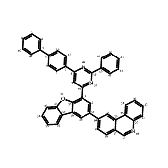 c1ccc(-c2ccc(-c3cc(-c4cc(-c5ccc6cnc7ccccc7c6c5)cc5c4oc4ccccc45)nc(-c4ccccc4)n3)cc2)cc1